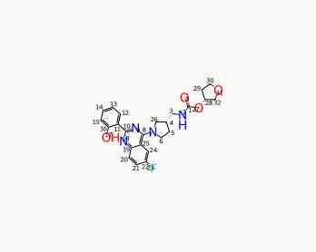 O=C(NC[C@@H]1CCN(c2nc(-c3ccccc3O)nc3ccc(F)cc23)C1)O[C@@H]1CCOC1